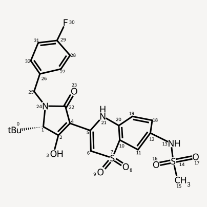 CC(C)(C)[C@H]1C(O)=C(C2=CS(=O)(=O)c3cc(NS(C)(=O)=O)ccc3N2)C(=O)N1Cc1ccc(F)cc1